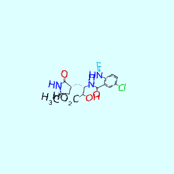 C[C@@H]1C[C@@H](C[C@H](NC(=O)c2cc(Cl)ccc2NF)C(O)C(=O)O)C(=O)N1